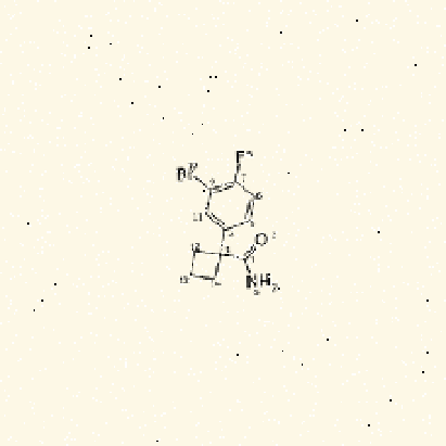 NC(=O)C1(c2ccc(F)c(Br)c2)CCC1